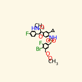 CNC(=O)c1c(-c2ccc(F)cc2)oc2cc(NS(=O)(=O)Cc3cc(F)c(Br)c(COCOC)c3)c(C3CC3)cc12